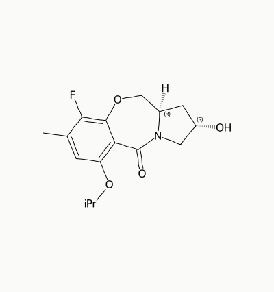 Cc1cc(OC(C)C)c2c(c1F)OC[C@H]1C[C@H](O)CN1C2=O